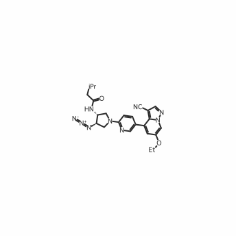 CCOc1cc(-c2ccc(N3C[C@@H](N=[N+]=[N-])[C@H](NC(=O)CC(C)C)C3)nc2)c2c(C#N)cnn2c1